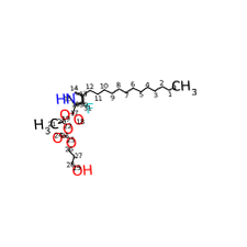 CCCCCCCCCCCCCc1c[nH]c(C(=O)OC(C)OC(=O)OCCCO)c1F